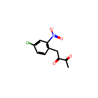 CC(=O)C(=O)Cc1ccc(Cl)cc1[N+](=O)[O-]